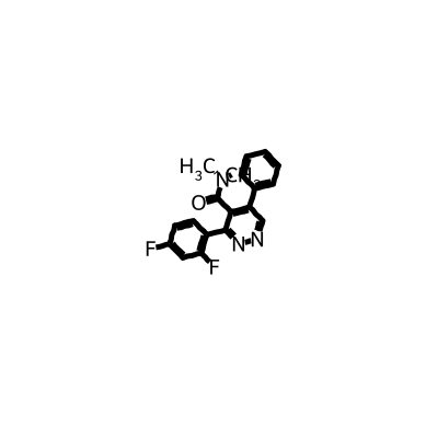 CN(C)C(=O)c1c(-c2ccccc2)cnnc1-c1ccc(F)cc1F